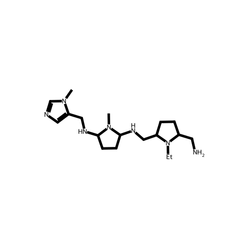 CCN1C(CN)CCC1CNC1CCC(NCc2cncn2C)N1C